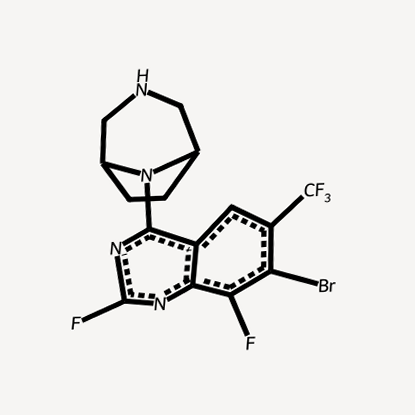 Fc1nc(N2C3CCC2CNC3)c2cc(C(F)(F)F)c(Br)c(F)c2n1